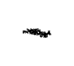 CC(C)CN(C)c1ccc(S(=O)(=O)N2CC[C@@H](NC(=O)c3cc(C4CC4)on3)C[C@H]2C)cn1